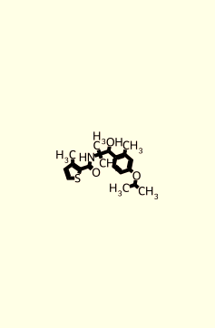 Cc1cc(OC(C)C)ccc1C(O)C(C)(C)NC(=O)c1sccc1C